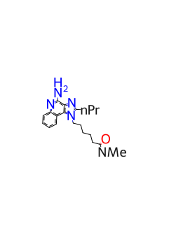 CCCc1nc2c(N)nc3ccccc3c2n1CCCCCC(=O)NC